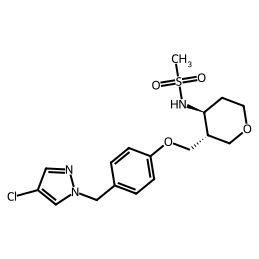 CS(=O)(=O)N[C@H]1CCOC[C@@H]1COc1ccc(Cn2cc(Cl)cn2)cc1